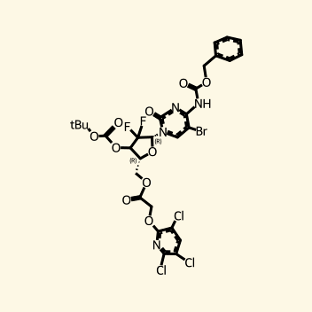 CC(C)(C)OC(=O)OC1[C@@H](COC(=O)COc2nc(Cl)c(Cl)cc2Cl)O[C@@H](n2cc(Br)c(NC(=O)OCc3ccccc3)nc2=O)C1(F)F